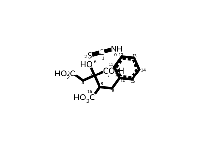 N=C=S.O=C(O)CC(O)(C(=O)O)C(Cc1ccccc1)C(=O)O